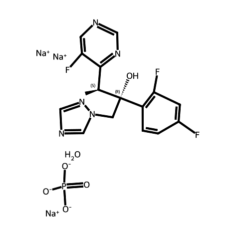 C[C@@H](c1ncncc1F)[C@](O)(Cn1cncn1)c1ccc(F)cc1F.O.O=P([O-])([O-])[O-].[Na+].[Na+].[Na+]